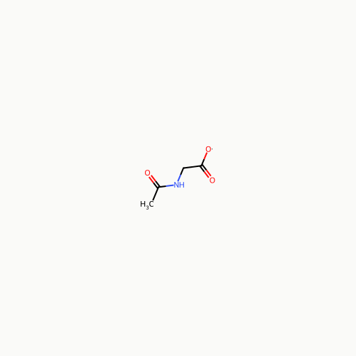 CC(=O)NCC([O])=O